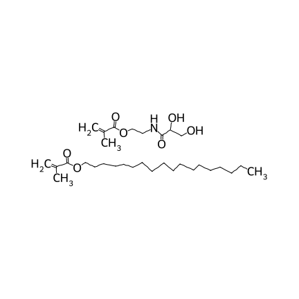 C=C(C)C(=O)OCCCCCCCCCCCCCCCCCC.C=C(C)C(=O)OCCNC(=O)C(O)CO